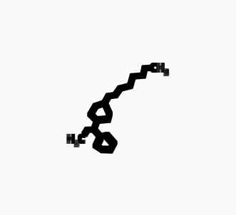 CCCCCCCCC1CC=C(C(CC)c2ccccc2)CC1